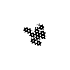 Sc1ccccc1Nc1ccc2c(-c3cccc(-c4ccc5ccccc5c4)c3)c3cc(N4c5ccccc5Sc5ccccc54)ccc3c(-c3cccc4ccccc34)c2c1